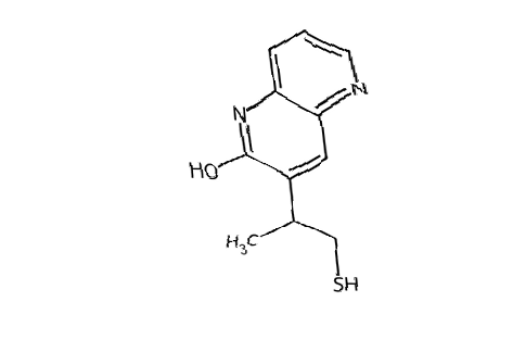 CC(CS)c1cc2ncccc2nc1O